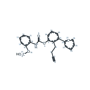 C#CCCc1c(OC(=O)Nc2ccccc2OC(=O)O)cccc1-c1ccccc1